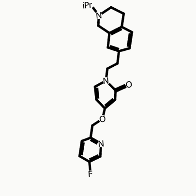 CC(C)N1CCc2ccc(CCn3ccc(OCc4ccc(F)cn4)cc3=O)cc2C1